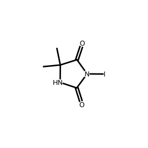 CC1(C)NC(=O)N(I)C1=O